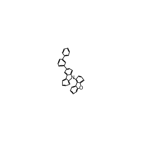 c1ccc(-c2cccc(-c3ccc4c(c3)c3ccccc3n4-c3cccc4oc5ccccc5c34)c2)cc1